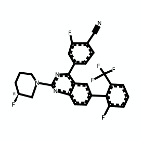 N#Cc1ccc(-c2nc(N3CCC[C@H](F)C3)nc3ccc(-c4c(F)cccc4C(F)(F)F)cc23)cc1F